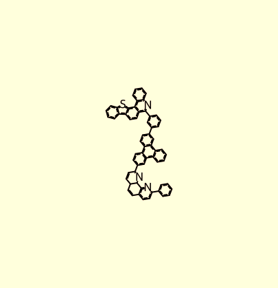 C1=CC2C=Cc3ccc(-c4ccccc4)nc3C2N=C1c1ccc2c3ccc(-c4cccc(-c5nc6ccccc6c6c5ccc5c7ccccc7sc56)c4)cc3c3ccccc3c2c1